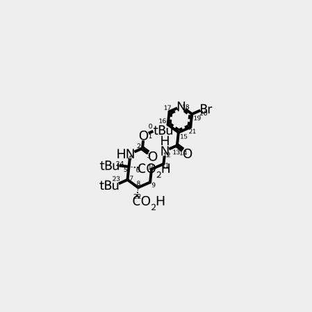 CC(C)(C)OC(=O)N[C@@](C(=O)O)(C([C@H](CCCNC(=O)c1ccnc(Br)c1)C(=O)O)C(C)(C)C)C(C)(C)C